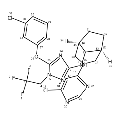 FC(F)(F)Cn1nc(NC2[C@@H]3CC[C@H]2CN(c2cc(Cl)ncn2)C3)nc1Oc1cccc(Cl)c1